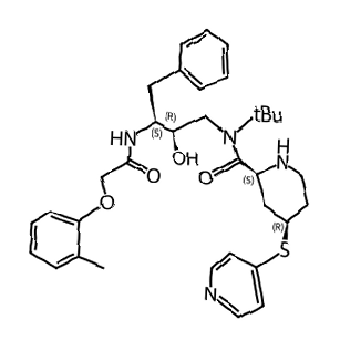 Cc1ccccc1OCC(=O)N[C@@H](Cc1ccccc1)[C@H](O)CN(C(=O)[C@@H]1C[C@H](Sc2ccncc2)CCN1)C(C)(C)C